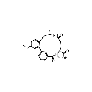 COc1ccc2c(c1)-c1cccc(c1)C(=O)N(C)[C@H](C(=O)O)CCC(=O)N[C@H](C)CO2